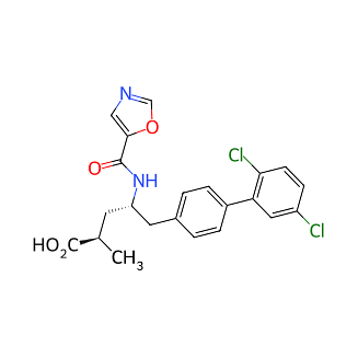 C[C@H](C[C@@H](Cc1ccc(-c2cc(Cl)ccc2Cl)cc1)NC(=O)c1cnco1)C(=O)O